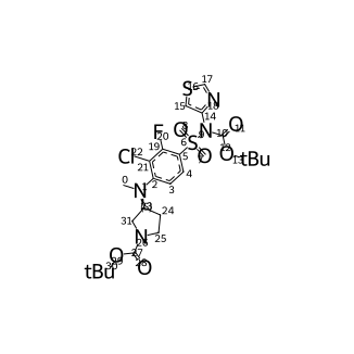 CN(c1ccc(S(=O)(=O)N(C(=O)OC(C)(C)C)c2cscn2)c(F)c1Cl)[C@H]1CCN(C(=O)OC(C)(C)C)C1